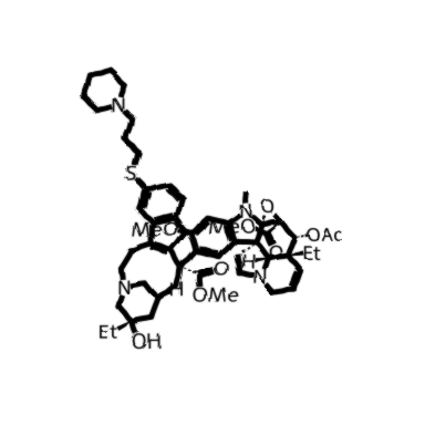 CC[C@]1(O)C[C@H]2CN(CCC3=C(Cc4ccc(SCCCN5CCCCC5)cc43)[C@@](C(=O)OC)(c3cc4c(cc3OC)N(C)[C@@]35O[C@]3(C(=O)OC)[C@H](OC(C)=O)[C@]3(CC)C=CCN6CC[C@]45[C@@H]63)C2)C1